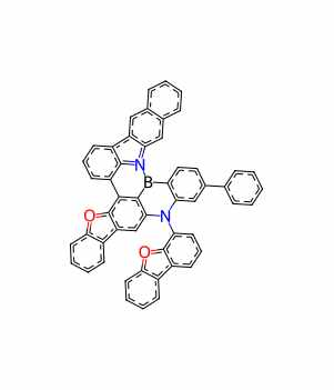 c1ccc(-c2ccc3c(c2)N(c2cccc4c2oc2ccccc24)c2cc4c(oc5ccccc54)c4c2B3n2c3cc5ccccc5cc3c3cccc-4c32)cc1